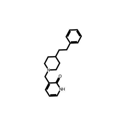 O=c1[nH]cccc1CN1CCC(CCc2ccccc2)CC1